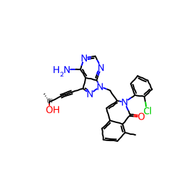 Cc1cccc2cc(Cn3nc(C#C[C@@H](C)O)c4c(N)ncnc43)n(-c3ccccc3Cl)c(=O)c12